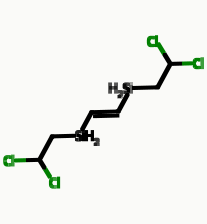 ClC(Cl)C[SiH2]C=C[SiH2]CC(Cl)Cl